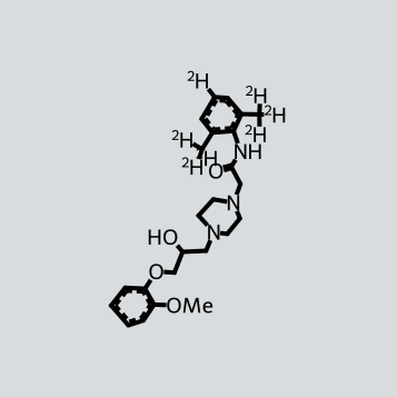 [2H]c1cc(C([2H])([2H])[2H])c(NC(=O)CN2CCN(CC(O)COc3ccccc3OC)CC2)c(C([2H])([2H])[2H])c1